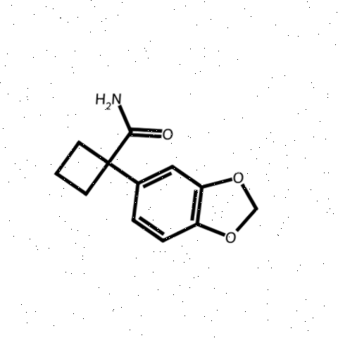 NC(=O)C1(c2ccc3c(c2)OCO3)CCC1